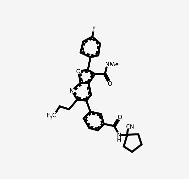 CNC(=O)c1c(-c2ccc(F)cc2)oc2nc(CCC(F)(F)F)c(-c3cccc(C(=O)NC4(C#N)CCCC4)c3)cc12